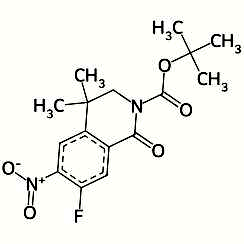 CC(C)(C)OC(=O)N1CC(C)(C)c2cc([N+](=O)[O-])c(F)cc2C1=O